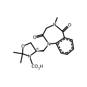 CN1CC(=O)N(C[C@@H]2COC(C)(C)N2C(=O)O)c2ccccc2C1=O